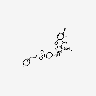 COc1ccc(F)c(F)c1C(=S)c1cnc(NC2CCN(S(=O)(=O)CCCN3CCOCC3)CC2)nc1N